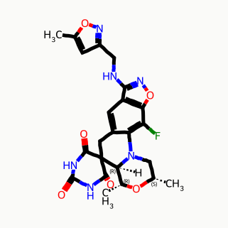 Cc1cc(CNc2noc3c(F)c4c(cc23)CC2(C(=O)NC(=O)NC2=O)[C@@H]2[C@@H](C)O[C@@H](C)CN42)no1